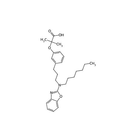 CCCCCCCN(CCCc1cccc(OC(C)(C)C(=O)O)c1)c1nc2ccccc2o1